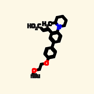 CCCCOCCOc1ccc(-c2ccc(N3CCCCC3C)c(/C=C/C(=O)O)c2)cc1